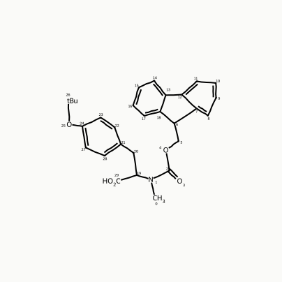 CN(C(=O)OCC1c2ccccc2-c2ccccc21)C(Cc1ccc(OC(C)(C)C)cc1)C(=O)O